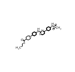 CCCSC(=O)C1CCN(c2ccc(Nc3nccc(-c4ccc(NS(C)(=O)=O)cc4)n3)cc2)CC1